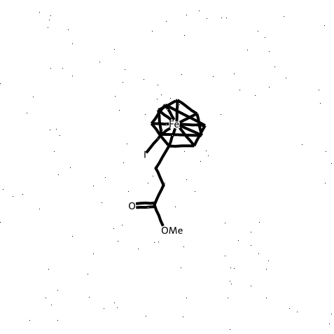 COC(=O)CC[C]12[CH]3[CH]4[CH]5[CH]1[Fe]45321678[CH]2[CH]1[CH]6[C]7(I)[CH]28